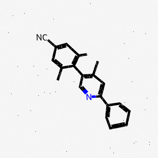 Cc1cc(-c2ccccc2)ncc1-c1c(C)cc(C#N)cc1C